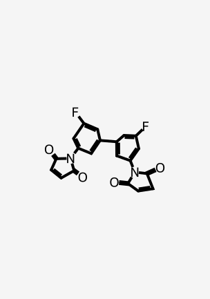 O=C1C=CC(=O)N1c1cc(F)cc(-c2cc(F)cc(N3C(=O)C=CC3=O)c2)c1